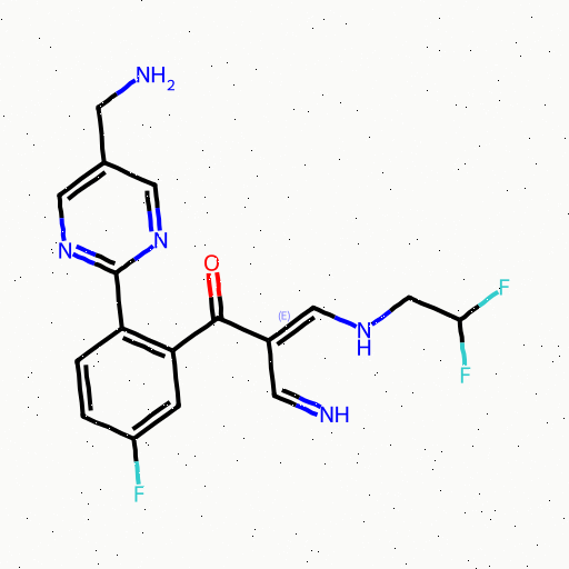 N=C/C(=C\NCC(F)F)C(=O)c1cc(F)ccc1-c1ncc(CN)cn1